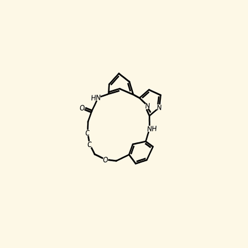 O=C1CCCCOCc2cccc(c2)Nc2nccc(n2)-c2cccc(c2)N1